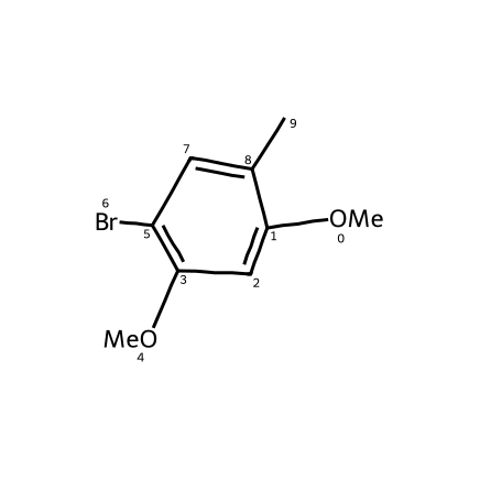 COc1cc(OC)c(Br)cc1C